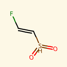 O=[SH](=O)C=CF